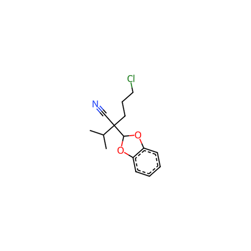 CC(C)C(C#N)(CCCCl)C1Oc2ccccc2O1